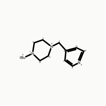 CC(C)(C)N1CCN(Cc2ccncc2)CC1